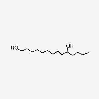 CCCCC(O)CCCCCCCCCO